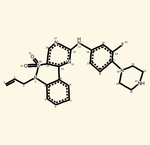 C=CCN1c2ccccc2-c2nc(Nc3ccc(N4CCNCC4)c(F)c3)ncc2S1(=O)=O